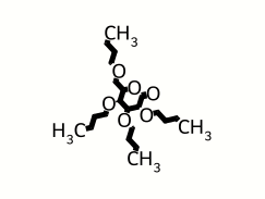 CCCCOCC1OC(=O)C(OCCCC)C(OCCCC)[C@@H]1OCCCC